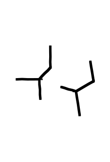 CC[C](C)C.CC[C](C)C